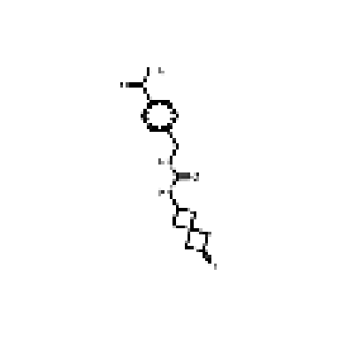 NC(=O)c1ccc(CNC(=O)NC2CC3(CC(=O)C3)C2)cc1